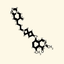 Cc1ccc(OC2CC3(C2)CN(CCCc2cc4nncn4cc2F)C3)c2cnn(C)c(=O)c12